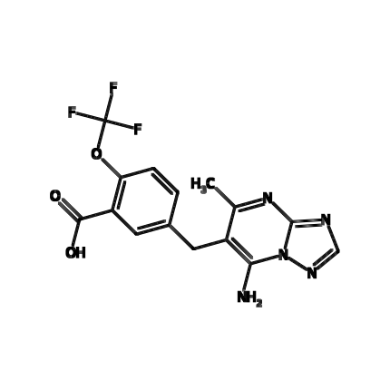 Cc1nc2ncnn2c(N)c1Cc1ccc(OC(F)(F)F)c(C(=O)O)c1